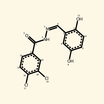 O=C(N/N=C\c1cc(O)ccc1O)c1ccc(Cl)c(Cl)c1